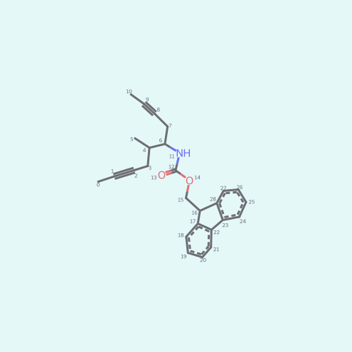 CC#CCC(C)C(CC#CC)NC(=O)OCC1c2ccccc2-c2ccccc21